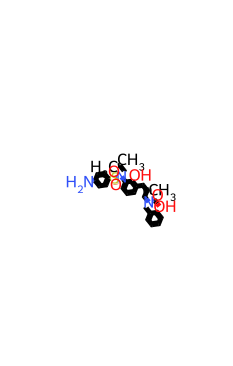 CC(C)CN(c1cccc(C[C@@H](C)CN(Cc2ccccc2)C(=O)O)c1O)S(=O)(=O)c1ccc(N)cc1